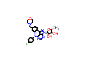 C[C@H]1O[C@@H](n2nc(-c3ccc(CN4CCOCC4)cc3)c3c(Nc4ccc(F)cc4)ncnc32)[C@H](O)[C@@H]1O